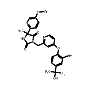 CCCc1cc(C(O)(C(F)(F)F)C(F)(F)F)ccc1Oc1ccnc(CN2C(=O)NC(C)(c3ccc(OC(C)C)cn3)C2=O)c1